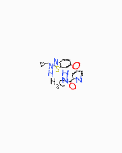 CNC(=O)c1cc(Oc2ccc3nc(NCC4CC4)sc3c2)ccn1